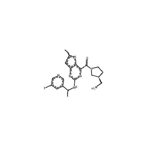 Cc1cc2nc(NC(C)c3cncc(F)c3)nc(C(=O)N3CC[C@@H](CN)C3)c2s1